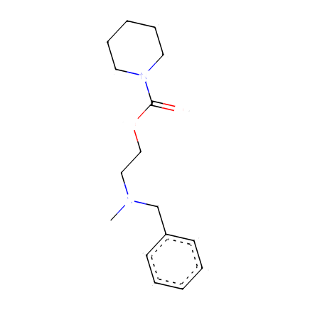 CN(CCOC(=O)N1CCCCC1)Cc1ccccc1